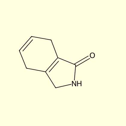 O=C1NCC2=C1CC=CC2